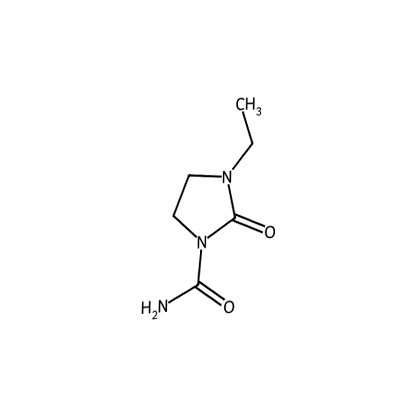 CCN1CCN(C(N)=O)C1=O